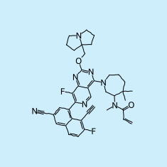 C#Cc1c(F)ccc2cc(C#N)cc(-c3ncc4c(N5CCCC(C)(C)C(N(C)C(=O)C=C)C5)nc(OCC56CCCN5CCC6)nc4c3F)c12